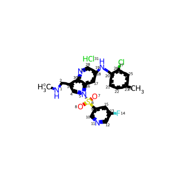 CNCc1cn(S(=O)(=O)c2cncc(F)c2)c2cc(Nc3ccc(C)cc3Cl)cnc12.Cl